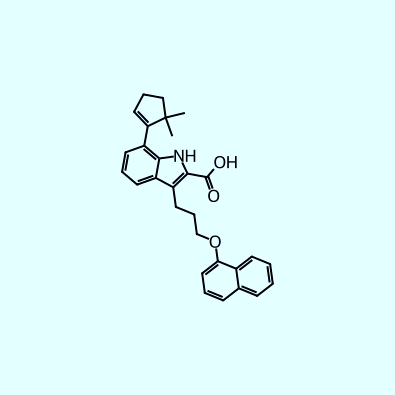 CC1(C)CCC=C1c1cccc2c(CCCOc3cccc4ccccc34)c(C(=O)O)[nH]c12